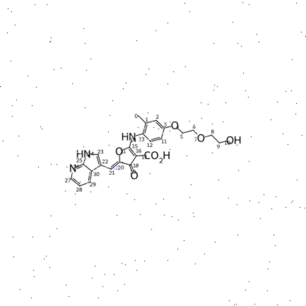 Cc1cc(OCCOCCO)ccc1NC1=C(C(=O)O)C(=O)/C(=C/c2c[nH]c3ncccc23)O1